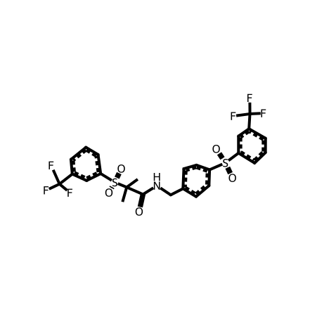 CC(C)(C(=O)NCc1ccc(S(=O)(=O)c2cccc(C(F)(F)F)c2)cc1)S(=O)(=O)c1cccc(C(F)(F)F)c1